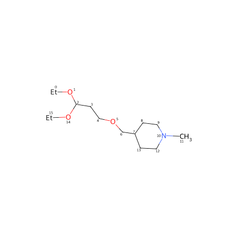 CCOC(CCOCC1CCN(C)CC1)OCC